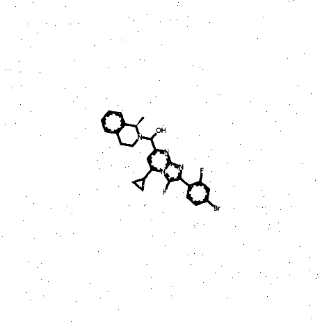 C[C@@H]1c2ccccc2CCN1C(O)c1cc(C2CC2)n2c(F)c(-c3ccc(Br)cc3F)nc2n1